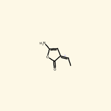 C/C=C1/C=C(N)OC1=O